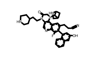 N#CCCc1cc2c3c(cnc2c(F)c1-c1cc(O)cc2ccccc12)N(CCC1CCNCC1)C(=O)CN3C1C2CNC1C2